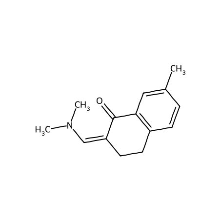 Cc1ccc2c(c1)C(=O)C(=CN(C)C)CC2